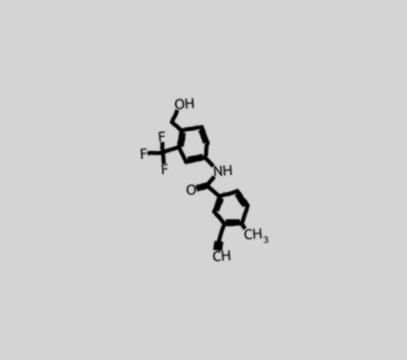 C#Cc1cc(C(=O)Nc2ccc(CO)c(C(F)(F)F)c2)ccc1C